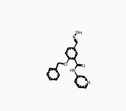 O=C(Nc1cccnc1)c1cc(/C=N/O)ccc1OCc1ccccc1